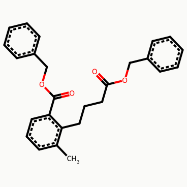 Cc1cccc(C(=O)OCc2ccccc2)c1CCCC(=O)OCc1ccccc1